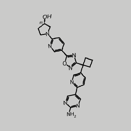 Nc1ncc(-c2ccc(C3(c4noc(-c5ccc(N6CC[C@@H](O)C6)nc5)n4)CCC3)cn2)cn1